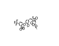 CCOC(=O)CN1C(=O)S/C(=C/c2ccc(Oc3ccc(C(F)(F)F)cc3[N+](=O)[O-])c(OC)c2)C1=O